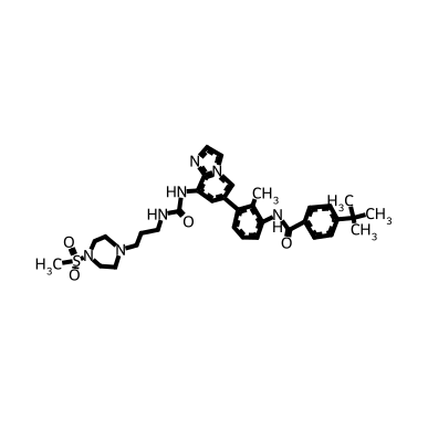 Cc1c(NC(=O)c2ccc(C(C)(C)C)cc2)cccc1-c1cc(NC(=O)NCCCN2CCN(S(C)(=O)=O)CC2)c2nccn2c1